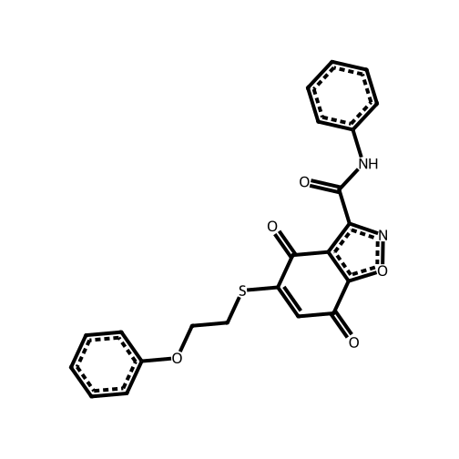 O=C(Nc1ccccc1)c1noc2c1C(=O)C(SCCOc1ccccc1)=CC2=O